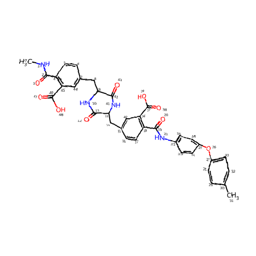 CNC(=O)c1ccc(CC2NC(=O)C(Cc3ccc(C(=O)Nc4ccc(Oc5ccc(C)cc5)cc4)c(C(=O)O)c3)NC2=O)cc1C(=O)O